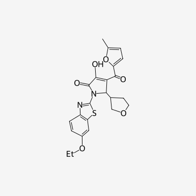 CCOc1ccc2nc(N3C(=O)C(O)=C(C(=O)c4ccc(C)o4)C3C3CCOC3)sc2c1